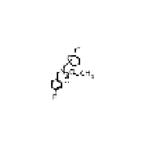 CCOC(=O)N(Cc1ccc(F)cc1)C[C@@H]1CCC[C@H](CI)O1